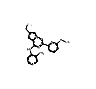 CCc1cc2c(Nc3ccncc3P)nc(-c3cccc(OC)n3)nn2c1